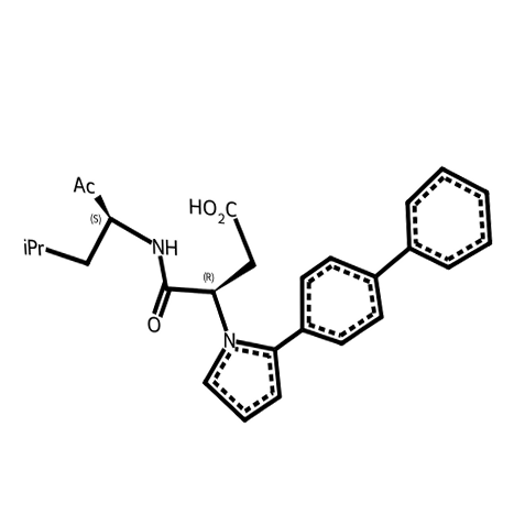 CC(=O)[C@H](CC(C)C)NC(=O)[C@@H](CC(=O)O)n1cccc1-c1ccc(-c2ccccc2)cc1